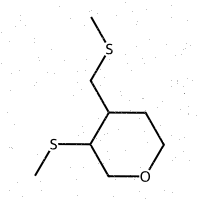 CSCC1CCOCC1SC